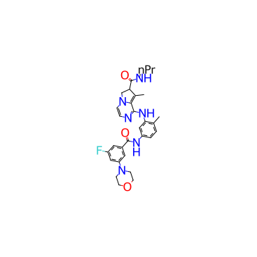 CCCNC(=O)C1CN2C=CN=C(Nc3cc(NC(=O)c4cc(F)cc(N5CCOCC5)c4)ccc3C)C2=C1C